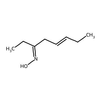 CCC=CCC(CC)=NO